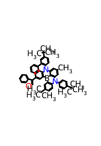 Cc1cc2c3c(c1)N(c1ccc(C(C)(C)C)cc1-c1ccccc1)c1ccc(-c4coc5ccccc45)cc1B3c1cc(C(C)(C)C)ccc1N2c1ccc(C(C)(C)C)cc1